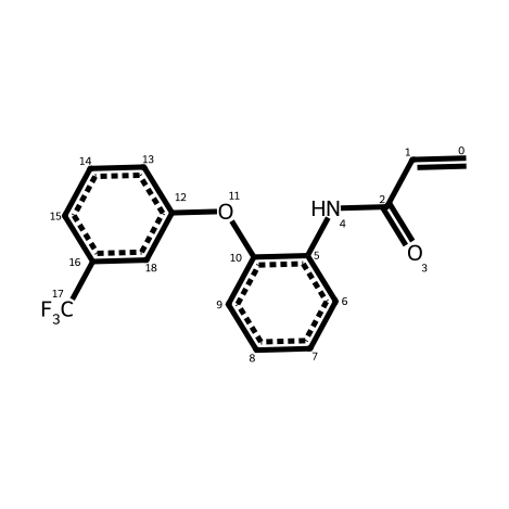 C=CC(=O)Nc1ccccc1Oc1cccc(C(F)(F)F)c1